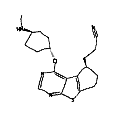 CN[C@H]1CC[C@H](Oc2ncnc3sc4c(c23)[C@@H](CCC#N)CC4)CC1